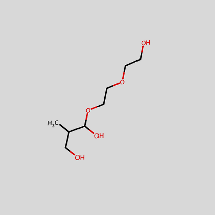 CC(CO)C(O)OCCOCCO